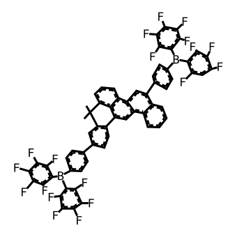 CC1(C)c2cc(-c3ccc(B(c4c(F)c(F)c(F)c(F)c4F)c4c(F)c(F)c(F)c(F)c4F)cc3)ccc2-c2cc3c4ccccc4c(-c4ccc(B(c5c(F)cc(F)c(F)c5F)c5c(F)c(F)c(F)c(F)c5F)cc4)cc3c3cccc1c23